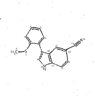 CSc1ccccc1-c1c[nH]c2ccc(C#N)cc12